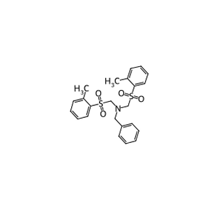 Cc1ccccc1S(=O)(=O)CN(Cc1ccccc1)CS(=O)(=O)c1ccccc1C